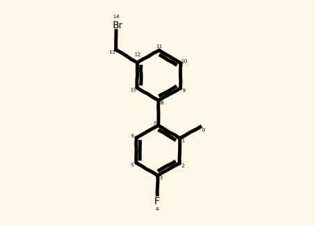 Cc1cc(F)ccc1-c1cccc(CBr)c1